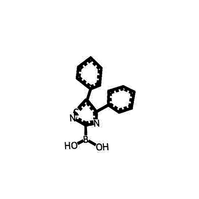 OB(O)c1ncc(-c2ccccc2)c(-c2ccccc2)n1